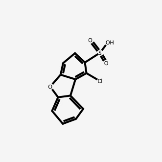 O=S(=O)(O)c1ccc2oc3ccccc3c2c1Cl